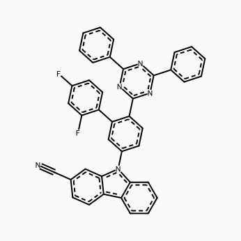 N#Cc1ccc2c3ccccc3n(-c3ccc(-c4nc(-c5ccccc5)nc(-c5ccccc5)n4)c(-c4ccc(F)cc4F)c3)c2c1